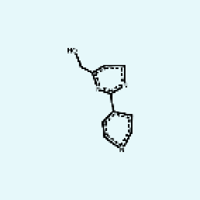 OCc1ccnc(-c2ccncc2)n1